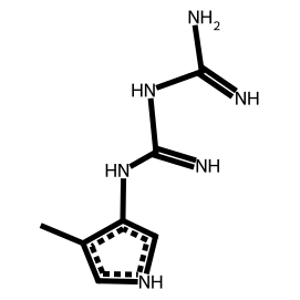 Cc1c[nH]cc1NC(=N)NC(=N)N